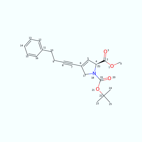 COC(=O)[C@@H]1C=C(C#CCCc2ccccc2)CN1C(=O)OC(C)(C)C